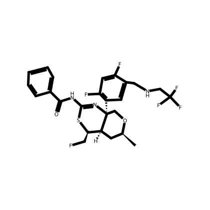 C[C@H]1C[C@H]2[C@@H](CF)SC(NC(=O)c3ccccc3)=N[C@@]2(c2cc(CNCC(F)(F)F)c(F)cc2F)CO1